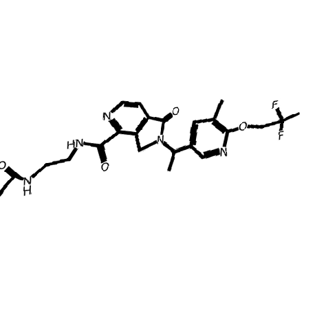 CC(=O)NCCNC(=O)c1nccc2c1CN(C(C)c1cnc(OCC(C)(F)F)c(C)c1)C2=O